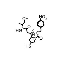 CC(CO)N(O)C(=O)CC(S)C1CC(S)CN1C(=O)OCc1ccc([N+](=O)[O-])cc1